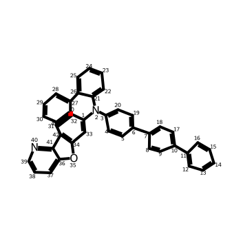 c1c(N(c2ccc(-c3ccc(-c4ccccc4)cc3)cc2)c2ccccc2C2=CC=CCC2)cc2oc3cccnc3c2c#1